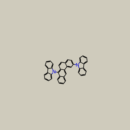 c1ccc2c(-n3c4ccccc4c4ccccc43)c3ccc4ccc(-n5c6ccccc6c6ccccc65)cc4c3cc2c1